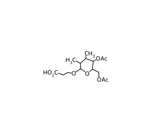 CC(=O)OCC1OC(OCCC(=O)O)C(C)C(C)C1OC(C)=O